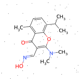 Cc1ccc(C(C)C)c2oc(N(C)C)c(C=NO)c(=O)c12